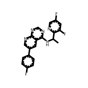 CC(Nc1ncnc2ncc(-c3ccc(F)cc3)cc12)c1ncc(F)cc1F